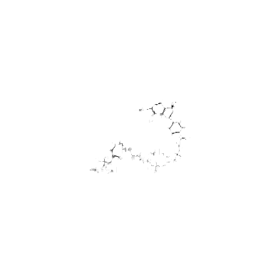 CC(C)(CNC(=O)c1ccc(-c2cc(=O)c3ccc(O)c(O)c3o2)cc1)COCC(C)(C)CC(=O)NCC(O)C[n+]1cccc(CC(O)(CO)P(O)O)c1